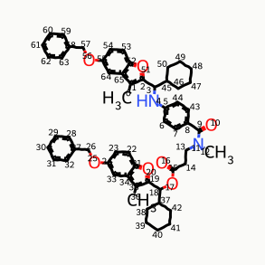 Cc1c(C(Nc2ccc(C(=O)N(C)CCC(=O)OC(c3oc4ccc(OCc5ccccc5)cc4c3C)C3CCCCC3)cc2)C2CCCCC2)oc2ccc(OCc3ccccc3)cc12